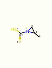 CC1CN1C(=S)S